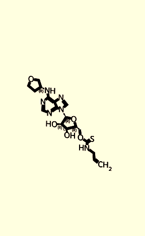 C=CCNC(=S)OC[C@H]1O[C@@H](n2cnc3c(N[C@@H]4CCOC4)ncnc32)[C@H](O)[C@@H]1O